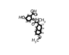 COc1ccc2cc(C(C)C(=O)Nc3ccc(O)cc3C(=O)O)ccc2c1